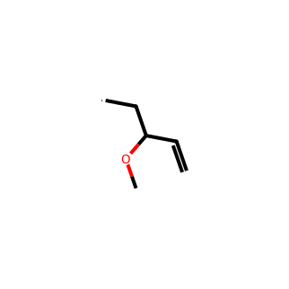 [CH2]CC(C=C)OC